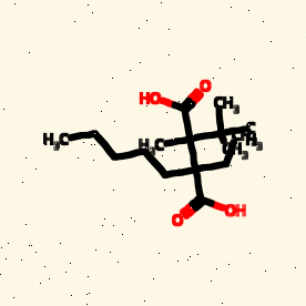 CCCCCC(CC)(C(=O)O)C(C)(C(=O)O)C(C)(C)C